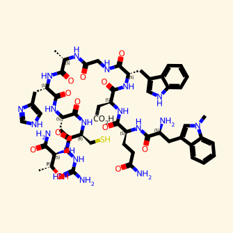 C[C@H](NC(=O)CNC(=O)[C@H](Cc1c[nH]c2ccccc12)NC(=O)[C@H](CC(=O)O)NC(=O)[C@H](CCC(N)=O)NC(=O)[C@@H](N)Cc1cn(C)c2ccccc12)C(=O)N[C@@H](Cc1c[nH]cn1)C(=O)N[C@@H](CCCNC(=N)N)C(=O)N[C@@H](CS)C(=O)N[C@H](C(N)=O)[C@@H](C)O